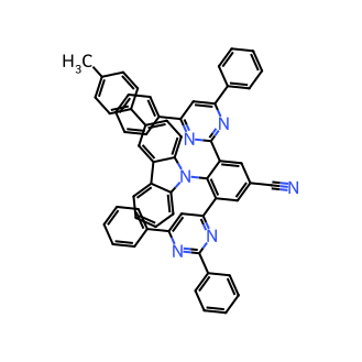 Cc1ccc(-c2ccc3c(c2)c2ccccc2n3-c2c(-c3cc(-c4ccccc4)nc(-c4ccccc4)n3)cc(C#N)cc2-c2nc(-c3ccccc3)cc(-c3ccccc3)n2)cc1